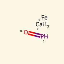 O=P.[CaH2].[Fe]